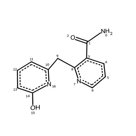 NC(=O)c1cccnc1Cc1cccc(O)n1